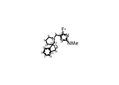 CNc1nc(F)c(CN2CCCC3(C2)OCc2ccccc23)s1